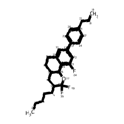 CCCCCC1CC2CCc3cc(-c4ccc(CCC)cc4)cc(F)c3C2OC1(F)F